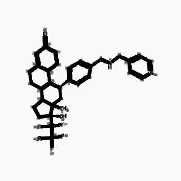 CC12C[C@H](c3ccc(CNCc4ccncc4)cc3)C3C4CCC(=O)C=C4CCC3C1CC[C@@]2(O)C(F)(F)C(F)(F)F